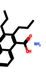 CCCc1cc2ccccc2c(C(=O)O)c1CCC.N